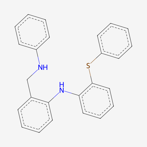 c1ccc(NCc2ccccc2Nc2ccccc2Sc2ccccc2)cc1